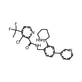 O=C(NCc1ccc(-c2cccnc2)cc1[C@@H]1CCCCN1)c1nccc(C(F)(F)F)c1Cl